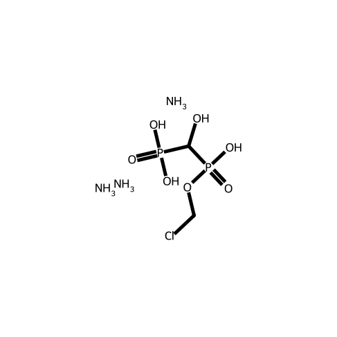 N.N.N.O=P(O)(O)C(O)P(=O)(O)OCCl